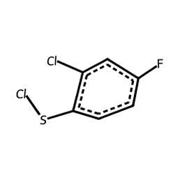 Fc1ccc(SCl)c(Cl)c1